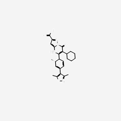 Cc1noc(C)c1C1=C[C@@H](C)C(c2[nH]c3cc(C(=O)O)nn3c(=O)c2C2CCCCC2)C=C1